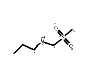 CCCN[CH]S(C)(=O)=O